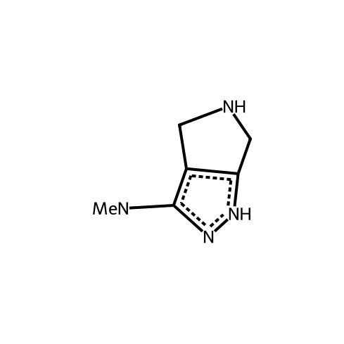 CNc1n[nH]c2c1CNC2